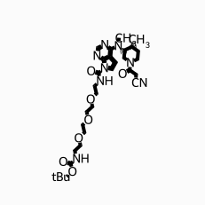 C[C@@H]1CCN(C(=O)CC#N)C[C@@H]1N(C)c1ncnc2c1ccn2C(=O)NCCOCCOCCOCCNC(=O)OC(C)(C)C